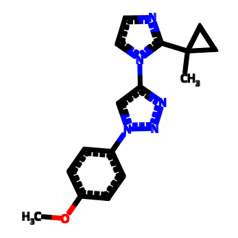 COc1ccc(-n2cc(-n3ccnc3C3(C)CC3)nn2)cc1